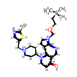 C[Si](C)(C)CCOCn1ccc2c1ncc1c(=O)ccn(C3CCN(Cc4cnc(Br)s4)CC3)c12